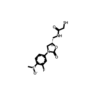 C[S+]([O-])c1ccc(N2C[C@H](CNC(=O)CS)OC2=O)cc1F